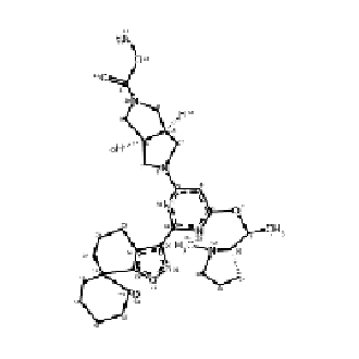 C[C@H](Oc1cc(N2C[C@H]3CN(C(=O)OC(C)(C)C)C[C@H]3C2)nc(-c2noc3c2CCC[C@@]32CCCCC2=O)n1)[C@@H]1CCCN1C